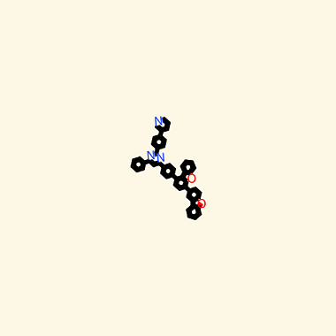 c1ccc(-c2cc(-c3ccc(-c4ccc(-c5ccc6oc7ccccc7c6c5)c5oc6ccccc6c45)cc3)nc(-c3ccc(-c4cccnc4)cc3)n2)cc1